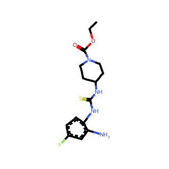 CCOC(=O)N1CCC(NC(=S)Nc2ccc(F)cc2N)CC1